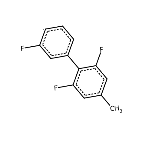 Cc1cc(F)c(-c2cc[c]c(F)c2)c(F)c1